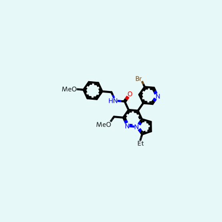 CCc1ccc2c(-c3cncc(Br)c3)c(C(=O)NCc3ccc(OC)cc3)c(COC)nn12